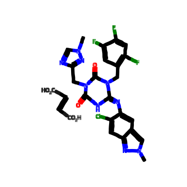 Cn1cnc(Cn2c(=O)[nH]/c(=N\c3cc4cn(C)nc4cc3Cl)n(Cc3cc(F)c(F)cc3F)c2=O)n1.O=C(O)/C=C/C(=O)O